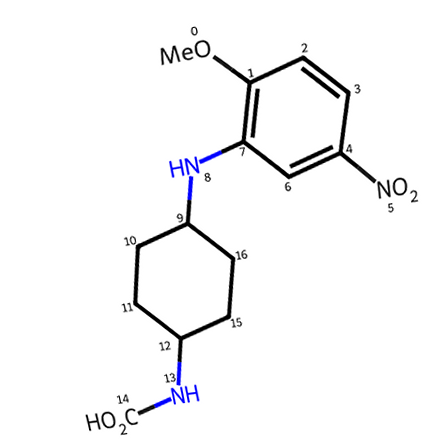 COc1ccc([N+](=O)[O-])cc1NC1CCC(NC(=O)O)CC1